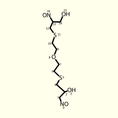 O=NCC(O)CSCCOCCSCC(CO)N=O